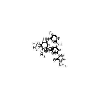 CN1C(C)(C)CC(Nc2nc(Nc3cc(C#N)cc(-n4nnn(C)c4=O)c3)ncc2F)CC1(C)C